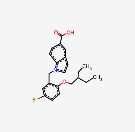 CCC(CC)COc1ccc(Br)cc1Cn1ccc2cc(C(=O)O)ccc21